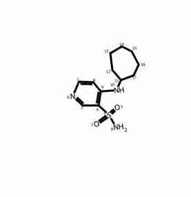 NS(=O)(=O)c1cnccc1NC1CCCCCC1